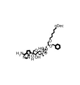 C=NC[C@]1(COP(=O)(O)OC[C@H](COCCCCCCCCCCCCCCCC)OCc2ccccc2)OC[C@](O)(c2ccc3c(N)ncnn23)[C@@H]1O